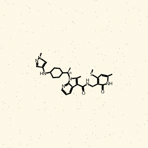 CSc1cc(C)[nH]c(=O)c1CNC(=O)c1c(C)n([C@H](C)C2CCC(Nc3cnn(C)c3)CC2)c2ncccc12